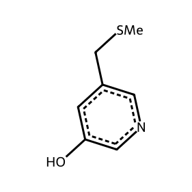 CSCc1cncc(O)c1